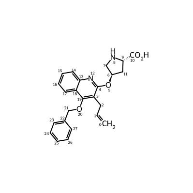 C=CCc1c(O[C@H]2CN[C@H](C(=O)O)C2)nc2ccccc2c1OCc1ccccc1